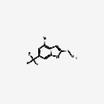 NCc1cc2c(Br)cc(C(F)(F)F)cc2o1